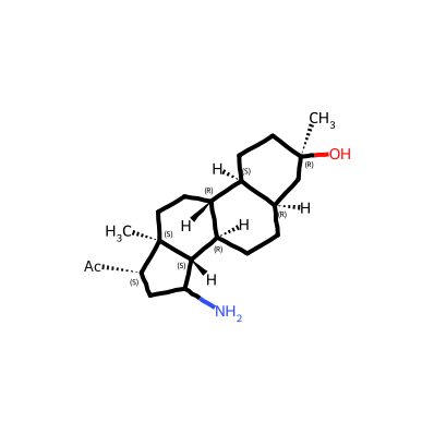 CC(=O)[C@H]1CC(N)[C@H]2[C@@H]3CC[C@@H]4C[C@](C)(O)CC[C@@H]4[C@H]3CC[C@]12C